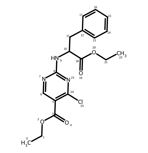 CCOC(=O)c1cnc(NC(Cc2ccccc2)C(=O)OCC)nc1Cl